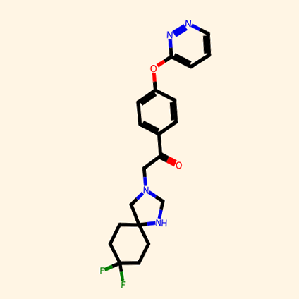 O=C(CN1CNC2(CCC(F)(F)CC2)C1)c1ccc(Oc2cccnn2)cc1